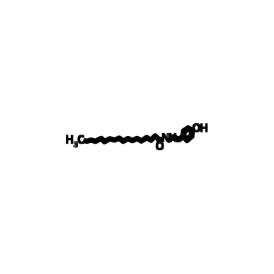 CCCCCCCCCCCCCCCCCC(=O)NCC=Cc1ccc(O)cc1